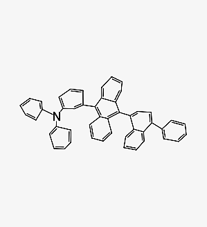 c1ccc(-c2ccc(-c3c4ccccc4c(-c4cccc(N(c5ccccc5)c5ccccc5)c4)c4ccccc34)c3ccccc23)cc1